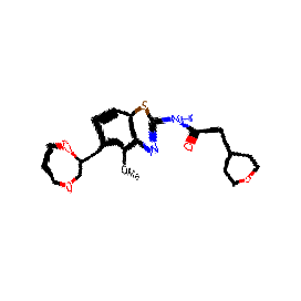 COc1c(C2COCCCO2)ccc2sc(NC(=O)CC3CCOCC3)nc12